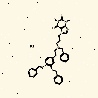 Cl.Cn1c(=O)c2c(ncn2CCCN(CCc2ccc(OCc3ccccc3)c(OCc3ccccc3)c2)Cc2ccccc2)n(C)c1=O